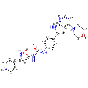 O=C(Nc1ccc(-c2cc3c(N4CCOCC4)ncnc3[nH]2)cc1)Nc1cc(-c2ccncc2)no1